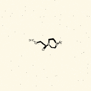 CC(=O)N1CCN(C(=O)COC=O)CC1